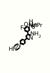 CCCSNc1cc(-c2cc(-c3ccc(N4CCNCC4)cc3)cnc2N)cc(F)c1OC